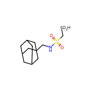 O=S(=O)(O)CS(=O)(=O)NCC12CC3CC(CC(C3)C1)C2